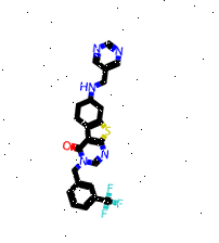 O=c1c2c3c(sc2ncn1Cc1cccc(C(F)(F)F)c1)CC(NCc1cncnc1)CC3